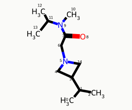 CC(C)C1CN(CC(=O)N(C)C(C)C)C1